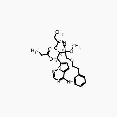 CCC(=O)O[C@@H](c1ccc2c(N)ncnn12)[C@H](OC(=O)CC)[C@@](C#N)(COCCc1ccccc1)OC